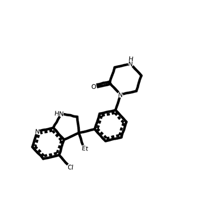 CCC1(c2cccc(N3CCNCC3=O)c2)CNc2nccc(Cl)c21